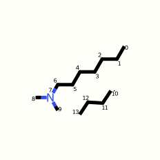 CCCCCCCN(C)C.[CH2]CCC